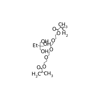 C=C(C)C(=O)OCCOCCOCCOCCOC(=O)C(=C)C.CCC(CO)(CO)CO